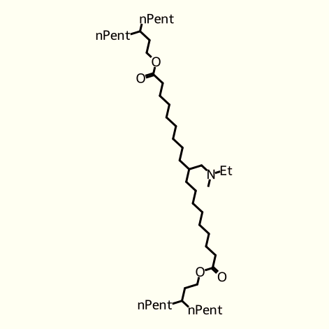 CCCCCC(CCCCC)CCOC(=O)CCCCCCCCC(CCCCCCCCC(=O)OCCC(CCCCC)CCCCC)CN(C)CC